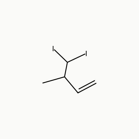 C=CC(C)C(I)I